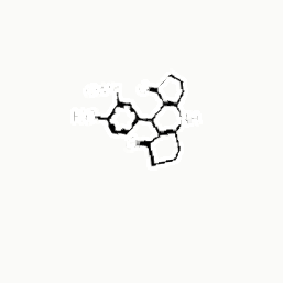 COc1cc(C2C3=C(CCCC3=O)NC3=C2C(=O)CCC3)ccc1O